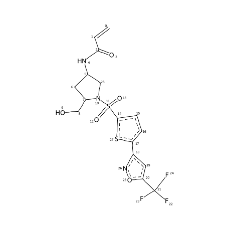 C=CC(=O)NC1CC(CO)N(S(=O)(=O)c2ccc(-c3cc(C(F)(F)F)on3)s2)C1